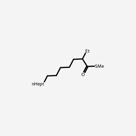 CCCCCCCCCCCCC(CC)C(=O)SC